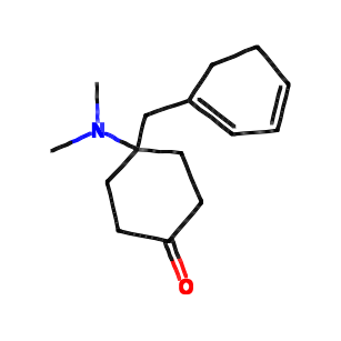 CN(C)C1(CC2=CC=CCC2)CCC(=O)CC1